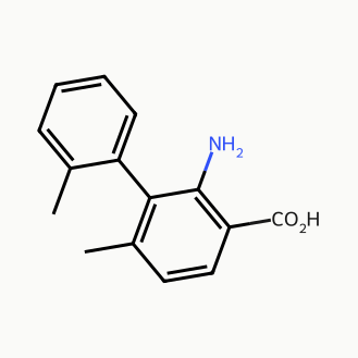 Cc1ccccc1-c1c(C)ccc(C(=O)O)c1N